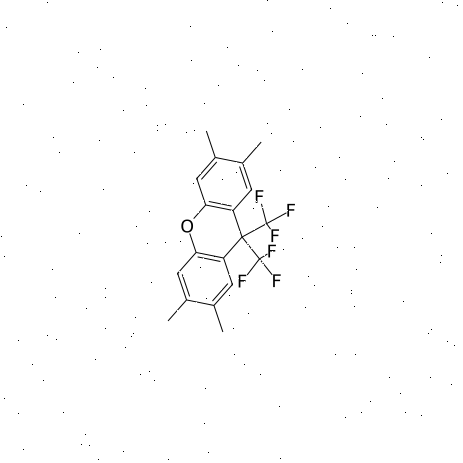 Cc1cc2c(cc1C)C(C(F)(F)F)(C(F)(F)F)c1cc(C)c(C)cc1O2